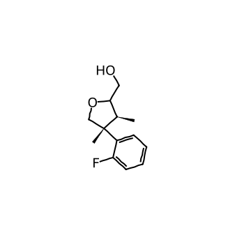 C[C@@H]1C(CO)OC[C@@]1(C)c1ccccc1F